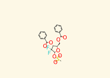 CS(=O)(=O)OC1O[C@H](COC(=O)c2ccccc2)[C@@H](OC(=O)c2ccccc2)C1(F)F